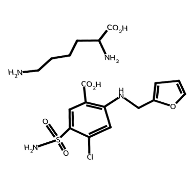 NCCCCC(N)C(=O)O.NS(=O)(=O)c1cc(C(=O)O)c(NCc2ccco2)cc1Cl